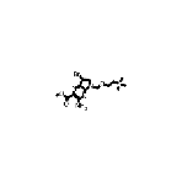 COC(=O)c1nc2c(Br)cn(COCCS(C)(C)C)c2nc1N